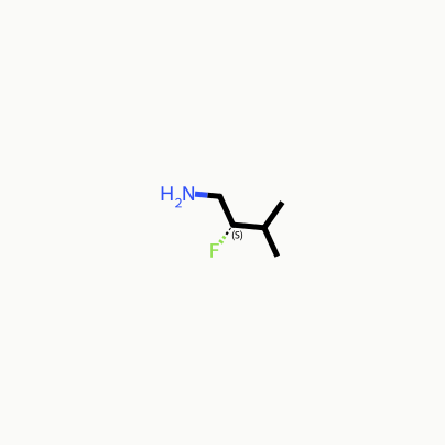 CC(C)[C@H](F)CN